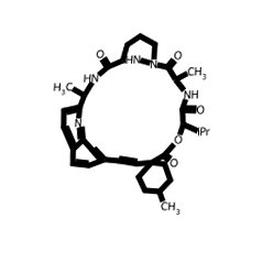 CC1CCC2(/C=C/c3ccc4ccc(nc4c3)C(C)NC(=O)C3CCCN(N3)C(=O)C(C)NC(=O)C(C(C)C)OC2=O)CC1